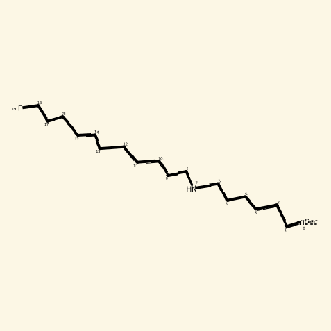 CCCCCCCCCCCCCCCCNCCCCCCCCCCCF